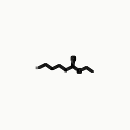 [CH2]CCC[CH]C(=O)OCC